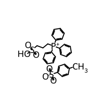 Cc1ccc(S(=O)(=O)[O-])cc1.O=S(=O)(O)CCC[P+](c1ccccc1)(c1ccccc1)c1ccccc1